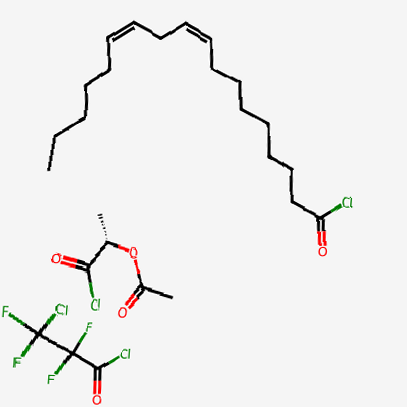 CC(=O)O[C@@H](C)C(=O)Cl.CCCCC/C=C\C/C=C\CCCCCCCC(=O)Cl.O=C(Cl)C(F)(F)C(F)(F)Cl